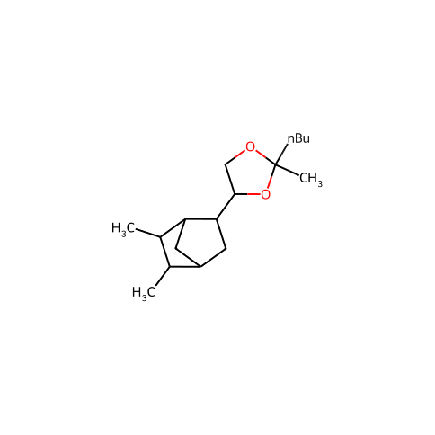 CCCCC1(C)OCC(C2CC3CC2C(C)C3C)O1